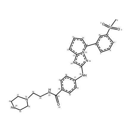 CS(=O)(=O)c1cccc(-c2cccc3nc(Nc4ccc(C(=O)NCCN5CCNCC5)cc4)nn23)c1